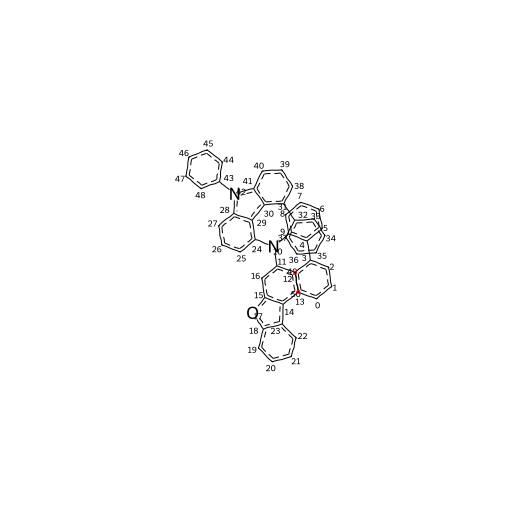 c1ccc(-c2ccccc2N(c2ccc3c(c2)oc2ccccc23)c2cccc3c2c2c(-c4ccccc4)cccc2n3-c2ccccc2)cc1